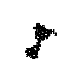 Cc1nc2c(c(-c3cccc(N)c3)c1C(=O)CCCCN1CCC(c3ccccc3)(c3ccccc3)CC1)c(=O)n(C)c(=O)n2C